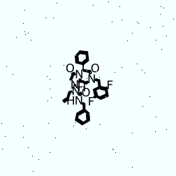 C=CCN(C(=O)NCc1ccccc1)N1CC(=O)N2[C@@H](c3ccccc3)C(=O)N(Cc3cc(F)ccc3F)C[C@@H]21